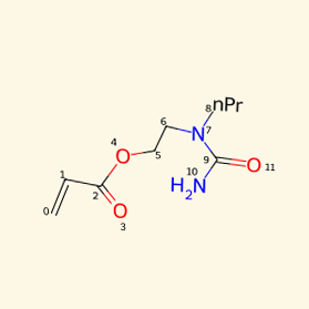 C=CC(=O)OCCN(CCC)C(N)=O